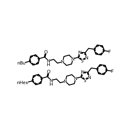 CCCCCCc1ccc(C(=O)NCCN2CCN(c3nc(Cc4ccc(F)cc4)ns3)CC2)cc1.CCCCc1ccc(C(=O)NCCN2CCN(c3nc(Cc4ccc(F)cc4)ns3)CC2)cc1